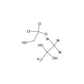 CC(O)(O)C(Br)(Br)Br.OCC(Cl)(Cl)Cl